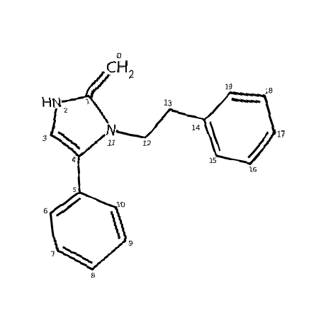 C=C1NC=C(c2ccccc2)N1CCc1ccccc1